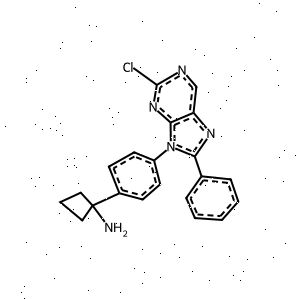 NC1(c2ccc(-n3c(-c4ccccc4)nc4cnc(Cl)nc43)cc2)CCC1